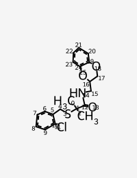 CC(C)(SCc1ccccc1Cl)C(=O)NCC1COc2ccccc2O1